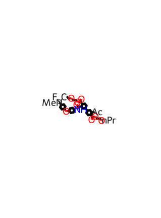 CCCOCCOC(=O)c1ccc(-c2ccc(C(=O)OCCOCCC(F)(F)F)c(C(=O)Nc3ccc(Oc4ccc(NC)cc4)cc3)c2)cc1C(C)=O